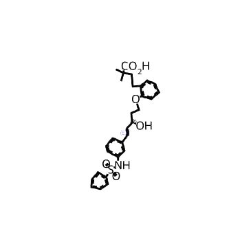 CC(C)(CCc1ccccc1OCC[C@@H](O)/C=C/c1cccc(NS(=O)(=O)c2ccccc2)c1)C(=O)O